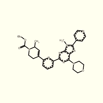 CC1C=C(c2cccc(-c3nc(N4CCOCC4)c4nc(-c5ccncc5)n(C)c4n3)n2)CCN1C(=O)OC(C)(C)C